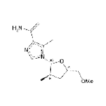 C=C(N)c1ncn([C@@H]2O[C@H](COC)C[C@H]2C)c1C